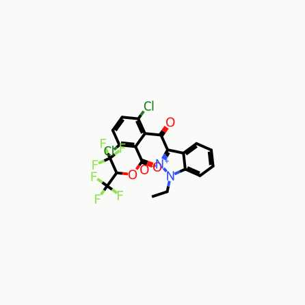 CCn1c2ccccc2c(C(=O)c2c(Cl)ccc(Cl)c2C(=O)OC(C(F)(F)F)C(F)(F)F)[n+]1[O-]